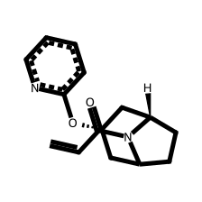 C=CC(=O)N1C2CC[C@H]1C[C@@H](Oc1ccccn1)C2